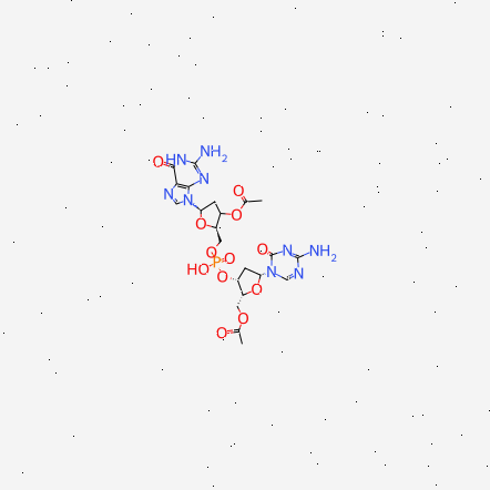 CC(=O)OC[C@H]1O[C@@H](n2cnc(N)nc2=O)C[C@H]1OP(=O)(O)OC[C@H]1O[C@@H](n2cnc3c(=O)[nH]c(N)nc32)CC1OC(C)=O